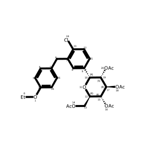 CCOc1ccc(Cc2cc([C@H]3O[C@H](COC(C)=O)[C@@H](OC(C)=O)[C@H](OC(C)=O)[C@H]3OC(C)=O)ccc2Cl)cc1